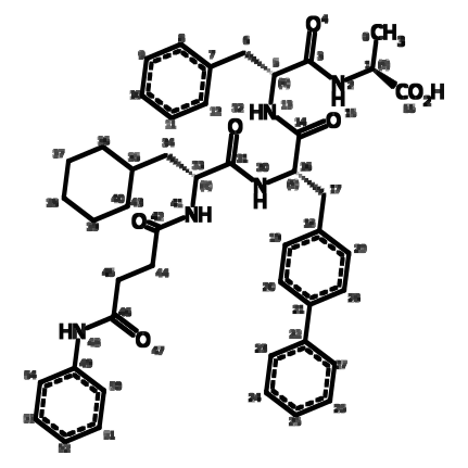 C[C@H](NC(=O)[C@@H](Cc1ccccc1)NC(=O)[C@H](Cc1ccc(-c2ccccc2)cc1)NC(=O)[C@@H](CC1CCCCC1)NC(=O)CCC(=O)Nc1ccccc1)C(=O)O